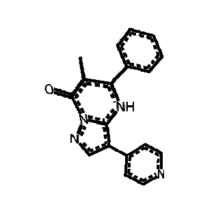 Cc1c(-c2ccccc2)[nH]c2c(-c3ccncc3)cnn2c1=O